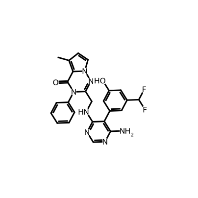 Cc1ccn2nc(CNc3ncnc(N)c3-c3cc(O)cc(C(F)F)c3)n(-c3ccccc3)c(=O)c12